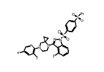 CC(C)S(=O)(=O)c1ccc(S(=O)(=O)n2nc(N3CCN(c4ncc(F)cc4F)CC34CC4)c3c(F)cccc32)cc1